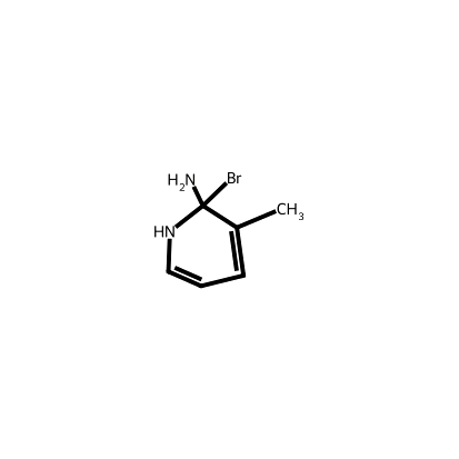 CC1=CC=CNC1(N)Br